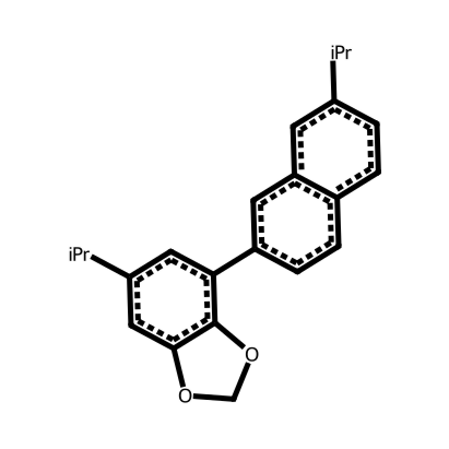 CC(C)c1cc2c(c(-c3ccc4ccc(C(C)C)cc4c3)c1)OCO2